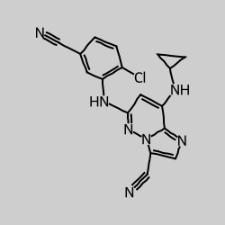 N#Cc1ccc(Cl)c(Nc2cc(NC3CC3)c3ncc(C#N)n3n2)c1